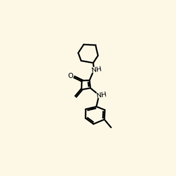 C=C1C(=O)C(NC2CCCCC2)=C1Nc1cccc(C)c1